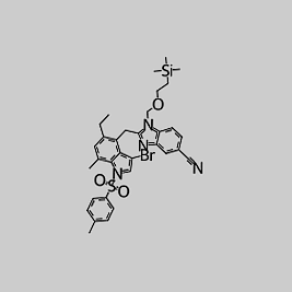 CCc1cc(C)c2c(c(Br)cn2S(=O)(=O)c2ccc(C)cc2)c1Cc1nc2cc(C#N)ccc2n1COCC[Si](C)(C)C